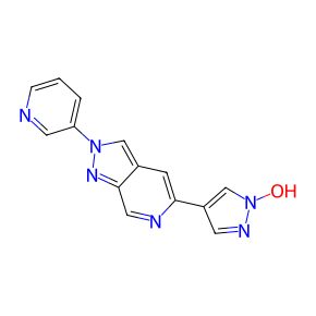 On1cc(-c2cc3cn(-c4cccnc4)nc3cn2)cn1